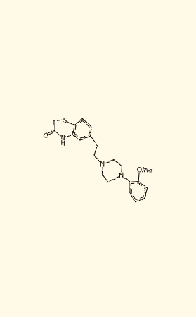 COc1ccccc1N1CCN(CCc2ccc3c(c2)NC(=O)CS3)CC1